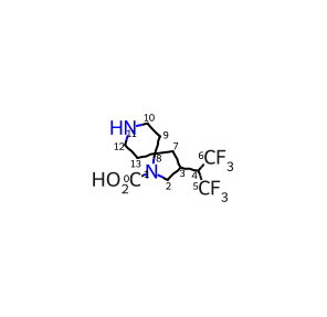 O=C(O)N1CC(C(C(F)(F)F)C(F)(F)F)CC12CCNCC2